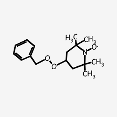 CC1(C)CC(OOCc2ccccc2)CC(C)(C)N1[O]